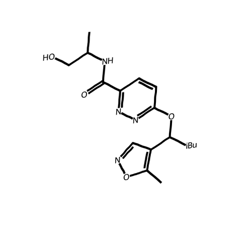 CCC(C)C(Oc1ccc(C(=O)NC(C)CO)nn1)c1cnoc1C